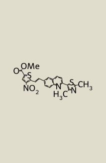 COC(=O)c1cc([N+](=O)[O-])c(/C=C/c2ccc3nc(-c4sc(C)nc4C)ccc3c2)s1